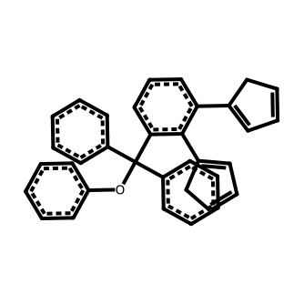 C1=CCC(c2cccc(C(Oc3ccccc3)(c3ccccc3)c3ccccc3)c2C2=CC=CC2)=C1